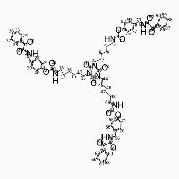 O=C(NCCCCCCn1c(=O)n(CCCCCCNC(=O)Oc2ccc(CNC(=O)C(=O)c3ccccc3)cc2)c(=O)n(CCCCCCNC(=O)Oc2ccc(CNC(=O)C(=O)c3ccccc3)cc2)c1=O)Oc1ccc(CNC(=O)C(=O)c2ccccc2)cc1